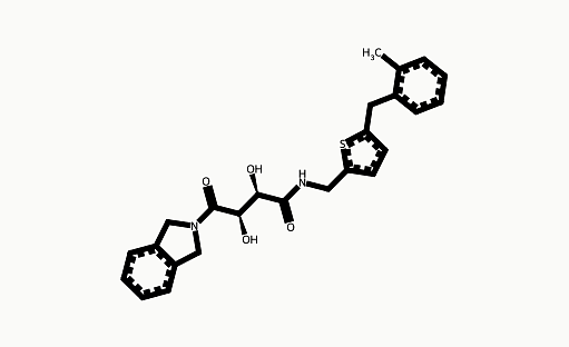 Cc1ccccc1Cc1ccc(CNC(=O)[C@H](O)[C@@H](O)C(=O)N2Cc3ccccc3C2)s1